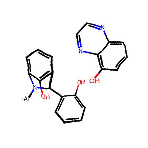 Oc1cccc2nccnc12.Oc1ccccc1C1c2cccc(c2O)[N]1[Al]